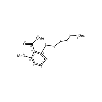 CCCCCCCCCCCCCCCc1cccc(OC)c1C(=O)OC